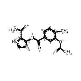 CC(=O)Oc1cc(C(=O)Oc2nc[nH]c2C(N)=O)ccc1C